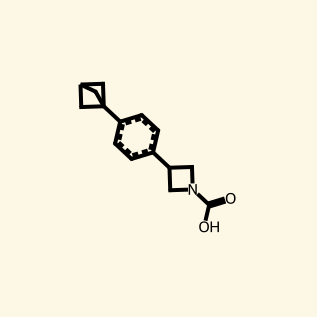 O=C(O)N1CC(c2ccc(C34CC(C3)C4)cc2)C1